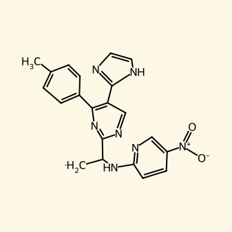 [CH2]C(Nc1ccc([N+](=O)[O-])cn1)c1ncc(-c2ncc[nH]2)c(-c2ccc(C)cc2)n1